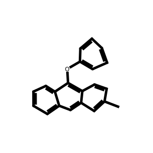 Cc1ccc2c(Oc3ccccc3)c3ccccc3cc2c1